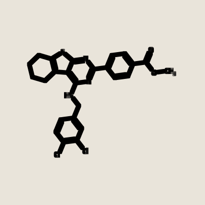 COC(=O)c1ccc(-c2nc(NCc3ccc(Cl)c(Cl)c3)c3c4c(sc3n2)CCCC4)cc1